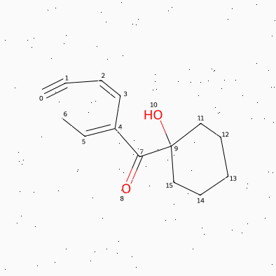 C#C/C=C\C(=C/C)C(=O)C1(O)CCCCC1